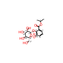 CC(C)OC(=O)c1cccc(O)c1O[C@@H]1O[C@H](CO)[C@@H](O)[C@H](O)[C@H]1O